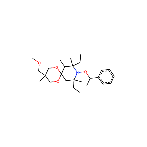 CCC1(C)CC2(OCC(C)(COC)CO2)C(C)C(C)(CC)N1OC(C)c1ccccc1